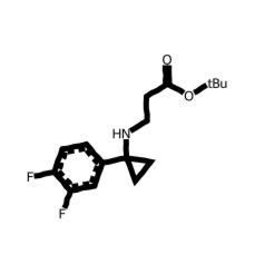 CC(C)(C)OC(=O)CCNC1(c2ccc(F)c(F)c2)CC1